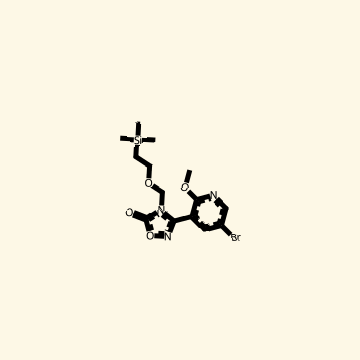 COc1ncc(Br)cc1-c1noc(=O)n1COCC[Si](C)(C)C